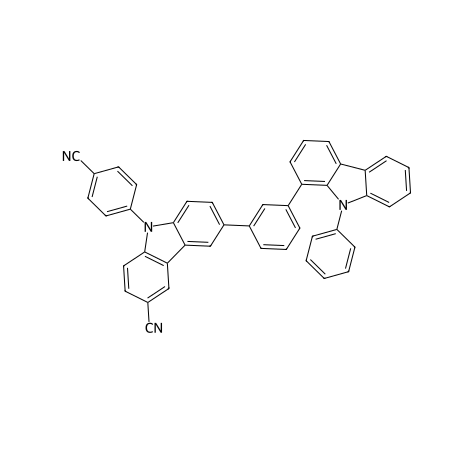 N#Cc1ccc(-n2c3ccc(C#N)cc3c3cc(-c4cccc(-c5cccc6c7ccccc7n(-c7ccccc7)c56)c4)ccc32)cc1